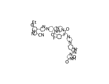 CCOc1cc(-c2ccc(N3CCC(CN4CCN(C(=O)CCN5CCN(c6ccc7c(N8CCC(=O)NC8=O)nn(C)c7c6)CC5)CC4)(NC(=O)c4cc(F)ccc4F)CC3)nc2)c2c(C#N)cnn2c1